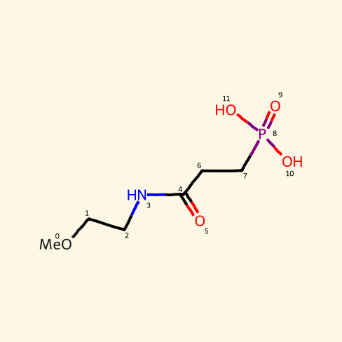 COCCNC(=O)CCP(=O)(O)O